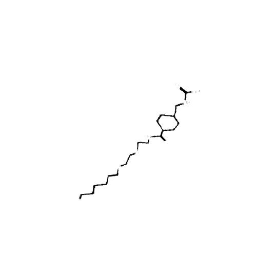 O=C(O)NCC1CCC(C(=O)NCCOCCOCCCCCCCl)CC1